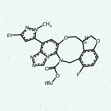 CCc1cc(-c2cc3c(n4cnnc24)N(C(=O)OC(C)(C)C)Cc2c(F)ccc4c2[C@H](CO4)CO3)n(C)n1